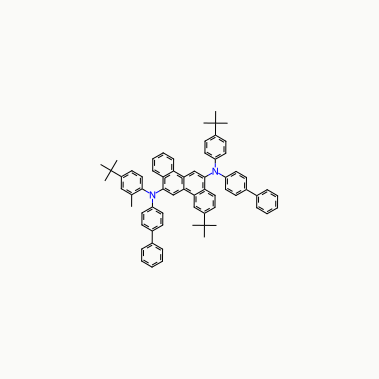 Cc1cc(C(C)(C)C)ccc1N(c1ccc(-c2ccccc2)cc1)c1cc2c3cc(C(C)(C)C)ccc3c(N(c3ccc(-c4ccccc4)cc3)c3ccc(C(C)(C)C)cc3)cc2c2ccccc12